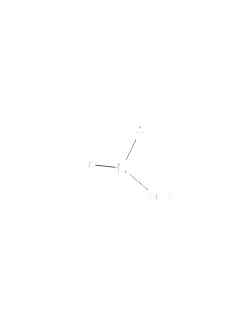 [CH2]C(=O)N(CC)CCC